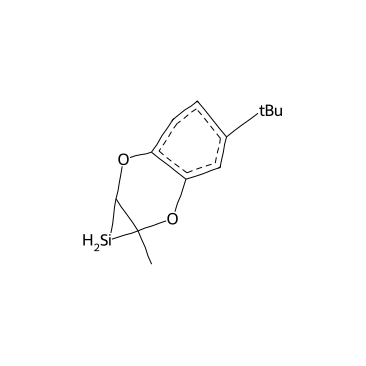 CC(C)(C)c1ccc2c(c1)OC1(C)[SiH2]C1O2